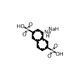 O=S(=O)(O)c1ccc2cc(S(=O)(=O)O)ccc2c1.[NaH].[NaH]